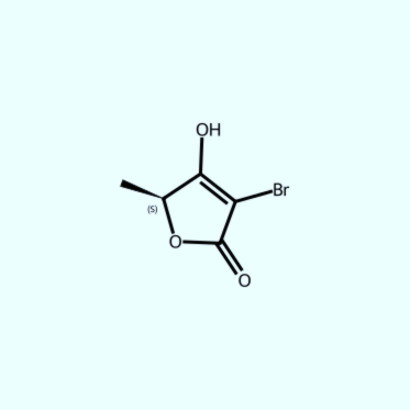 C[C@@H]1OC(=O)C(Br)=C1O